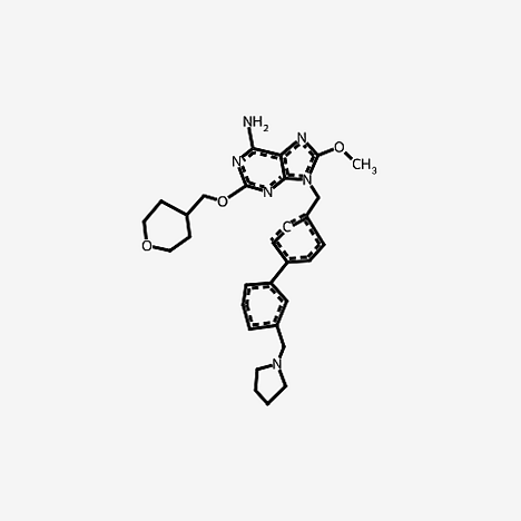 COc1nc2c(N)nc(OCC3CCOCC3)nc2n1Cc1ccc(-c2cccc(CN3CCCC3)c2)cc1